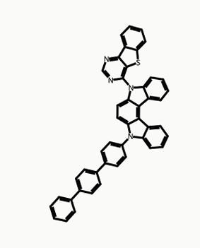 c1ccc(-c2ccc(-c3ccc(-n4c5ccccc5c5c6c7ccccc7n(-c7ncnc8c7sc7ccccc78)c6ccc54)cc3)cc2)cc1